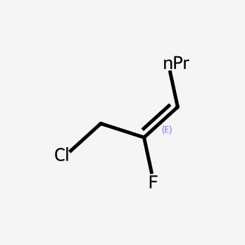 CCC/C=C(/F)CCl